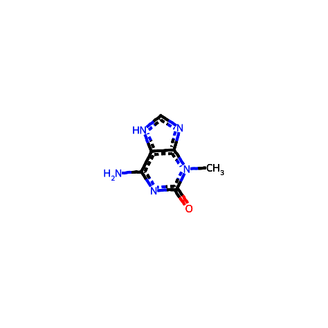 Cn1c(=O)nc(N)c2[nH]cnc21